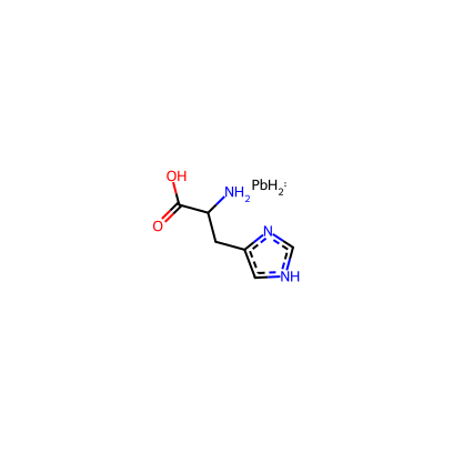 NC(Cc1c[nH]cn1)C(=O)O.[PbH2]